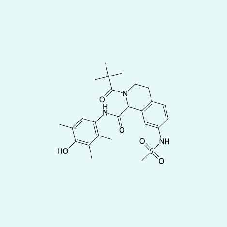 Cc1cc(NC(=O)C2c3cc(NS(C)(=O)=O)ccc3CCN2C(=O)C(C)(C)C)c(C)c(C)c1O